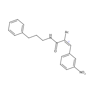 CC(=O)/C(=C/c1cccc([N+](=O)[O-])c1)C(=O)NCCCc1ccccc1